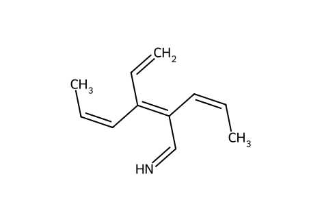 C=CC(/C=C\C)=C(C=N)\C=C/C